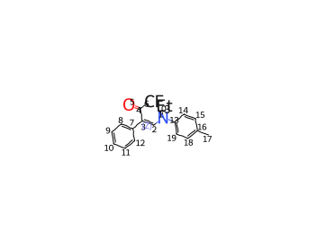 CCN(/C=C(\C(=O)C(F)(F)F)c1ccccc1)c1ccc(C)cc1